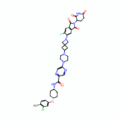 N#Cc1ccc(O[C@H]2CC[C@H](NC(=O)c3cnc(N4CCN(C5CC6(C5)CN(c5cc7c(cc5F)C(=O)N(C5CCC(=O)NC5=O)C7=O)C6)CC4)cn3)CC2)cc1Cl